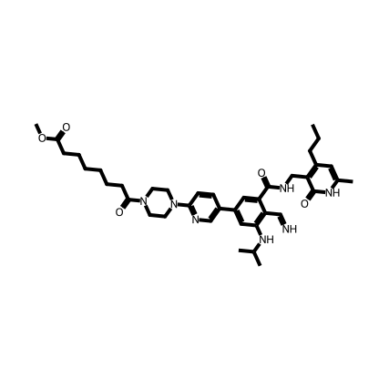 CCCc1cc(C)[nH]c(=O)c1CNC(=O)c1cc(-c2ccc(N3CCN(C(=O)CCCCCCC(=O)OC)CC3)nc2)cc(NC(C)C)c1C=N